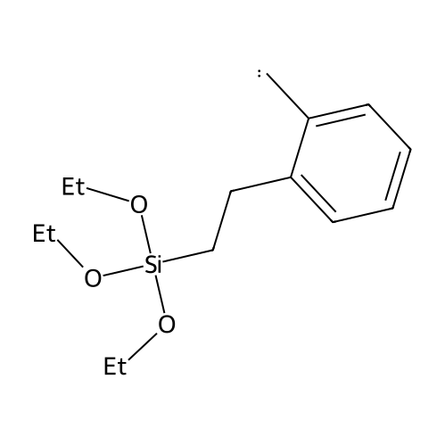 [CH]c1ccccc1CC[Si](OCC)(OCC)OCC